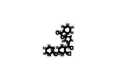 O=C1O[C@]2(CCN(C(=O)c3ccc(Oc4ncccn4)cc3Cl)C2)C2C=CC=CC12